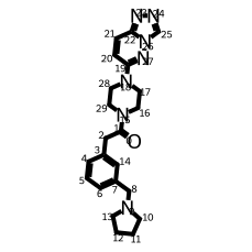 O=C(Cc1cccc(CN2CCCC2)c1)N1CCN(c2ccc3nncn3n2)CC1